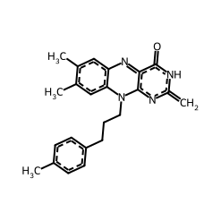 C=c1nc2c(c(=O)[nH]1)=Nc1cc(C)c(C)cc1N2CCCc1ccc(C)cc1